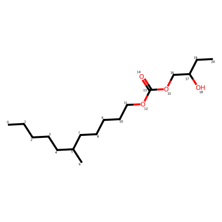 CCCCCC(C)CCCCCOC(=O)OCC(O)CC